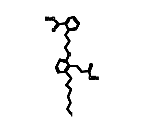 COC(=O)CCc1c(CCCCCCI)cccc1OCCCc1ccccc1C(=O)OC